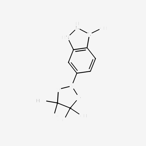 CN1NNc2cc(B3OC(C)(C)C(C)(C)O3)ccc21